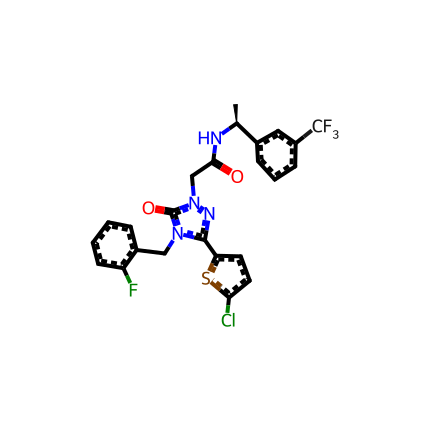 C[C@H](NC(=O)Cn1nc(-c2ccc(Cl)s2)n(Cc2ccccc2F)c1=O)c1cccc(C(F)(F)F)c1